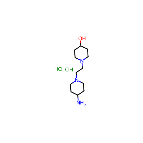 Cl.Cl.NC1CCN(CCN2CCC(O)CC2)CC1